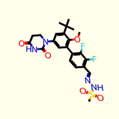 COc1c(-c2ccc(C=NNS(C)(=O)=O)c(F)c2F)cc(N2CCC(=O)NC2=O)cc1C(C)(C)C